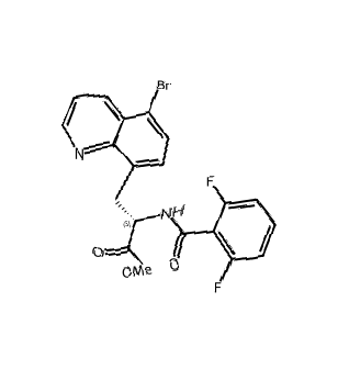 COC(=O)[C@H](Cc1ccc(Br)c2cccnc12)NC(=O)c1c(F)cccc1F